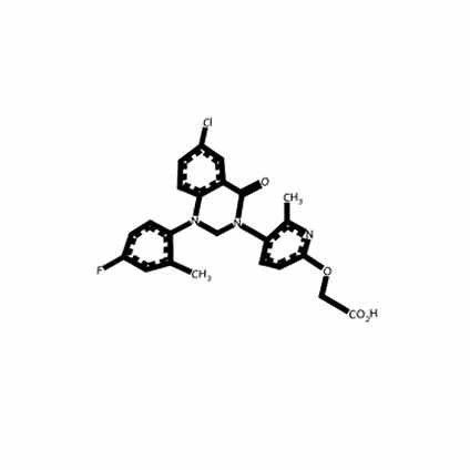 Cc1cc(F)ccc1N1CN(c2ccc(OCC(=O)O)nc2C)C(=O)c2cc(Cl)ccc21